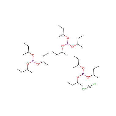 CCC(C)OP(OC(C)CC)OC(C)CC.CCC(C)OP(OC(C)CC)OC(C)CC.CCC(C)OP(OC(C)CC)OC(C)CC.[Cl][Ru][Cl]